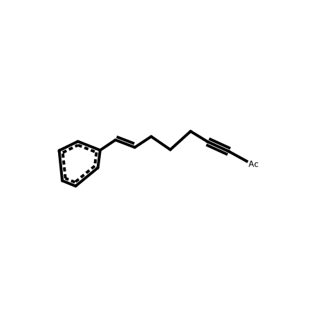 CC(=O)C#CCCCC=Cc1ccccc1